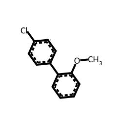 COc1ccccc1-c1c[c]c(Cl)cc1